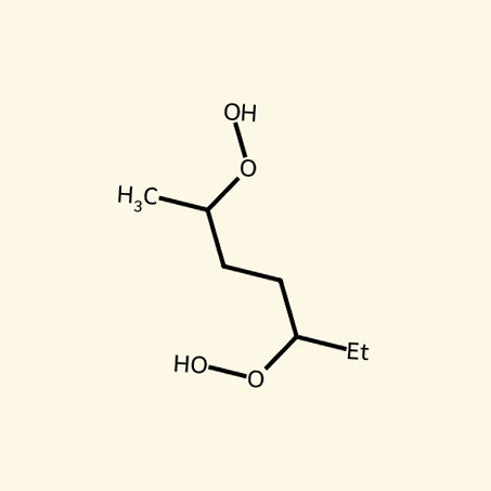 CCC(CCC(C)OO)OO